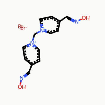 ON=Cc1cc[n+](C[n+]2ccc(C=NO)cc2)cc1.[Br-].[Br-]